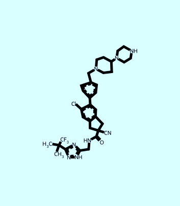 CC(C)(c1n[nH]c(CNC(=O)C2(C#N)Cc3cc(Cl)c(-c4ccc(CN5CCC(N6CCNCC6)CC5)cc4)cc3C2)n1)C(F)(F)F